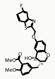 COC(=O)c1cc(C[C@H]2COc3ccc(OCc4nc5cc(F)ccc5s4)cc3[C@@H]2O)ccc1OC